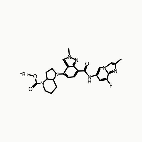 Cc1cn2cc(NC(=O)c3ccc(N4CCC5C4CCCN5C(=O)OC(C)(C)C)c4cn(C)nc34)cc(F)c2n1